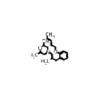 CCCCCOc1ccccc1CC(C)CN1CC(C)OC(C)C1